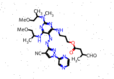 COCC(C)Nc1nc(N(C)C(C)COC)nc(NCCCOC(=O)CC(C)C=O)c1N=Nc1nn(-c2cnccn2)cc1C#N